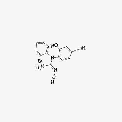 N#CN=C(N)N(c1ccc(C#N)cc1O)c1ccccc1Br